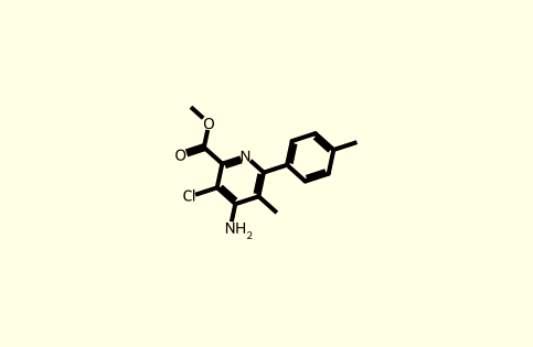 COC(=O)c1nc(-c2ccc(C)cc2)c(C)c(N)c1Cl